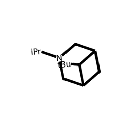 CC(C)N1CC2CC(C1)C2C(C)(C)C